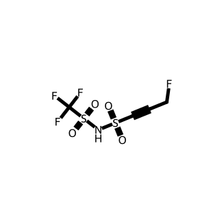 O=S(=O)(C#CCF)NS(=O)(=O)C(F)(F)F